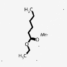 CCCCCC(=O)OCC.[Mn]